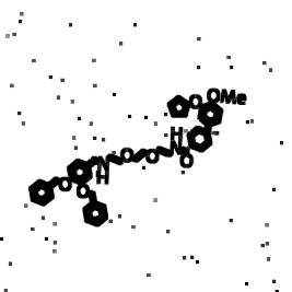 COc1ccc([C@]2(C)CC[C@@H](C(=O)NCCOCCOCCNCc3ccc(OCc4ccccc4)c(OCc4ccccc4)c3)CC2)cc1OC1CCCC1